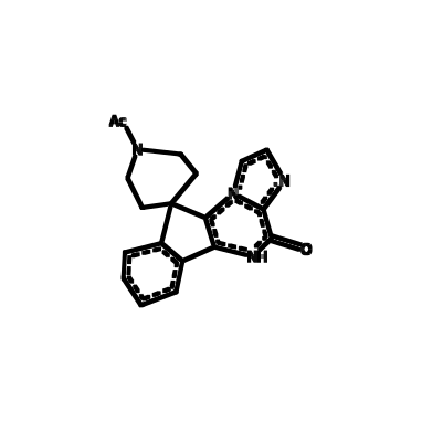 CC(=O)N1CCC2(CC1)c1ccccc1-c1[nH]c(=O)c3nccn3c12